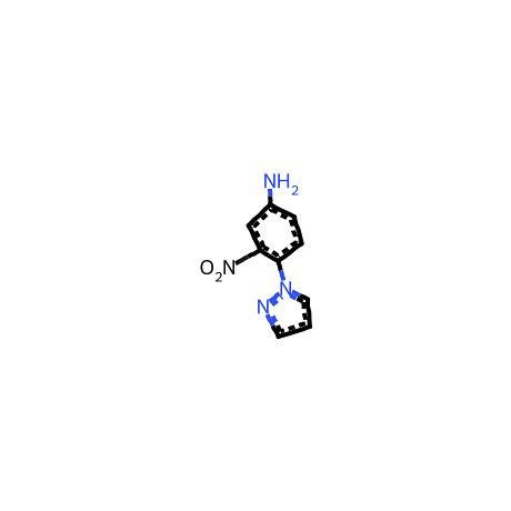 Nc1ccc(-n2cccn2)c([N+](=O)[O-])c1